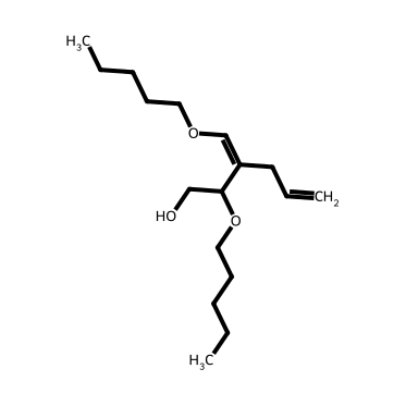 C=CCC(=COCCCCC)C(CO)OCCCCC